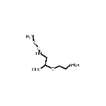 CCCCCCCCOC(C=O)CNCCN